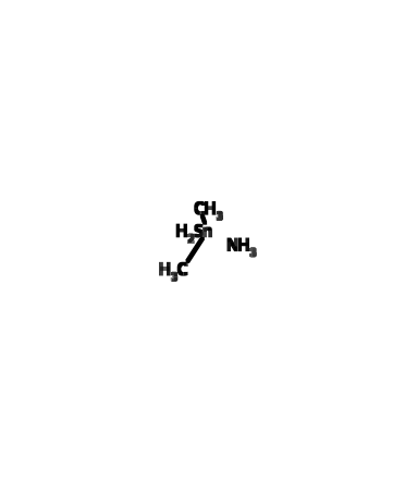 N.[CH3][SnH2][CH3]